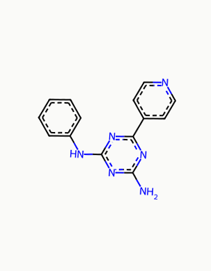 Nc1nc(Nc2ccccc2)nc(-c2ccncc2)n1